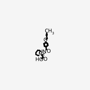 CC#CCOc1ccc(C(=O)NC[C@@H](C(=O)O)N2CCCCC2)cc1